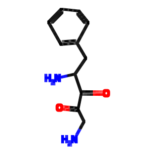 NCC(=O)C(=O)C(N)Cc1ccccc1